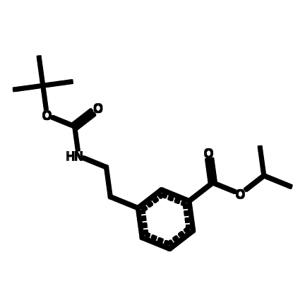 CC(C)OC(=O)c1cccc(CCNC(=O)OC(C)(C)C)c1